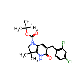 CC(C)(C)OC(=O)N1CC(C)(C)c2[nH]c(=O)c(Cc3ccc(Cl)cc3Cl)cc21